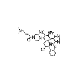 CC(C)c1ncnc(C(C)C)c1-n1c(=O)c(C#N)c(N2CCN(C(=O)/C=C/CN(C)C)CC2)c2cc(Cl)c(-c3ccccc3F)nc21